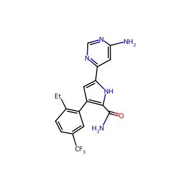 CCc1ccc(C(F)(F)F)cc1-c1cc(-c2cc(N)ncn2)[nH]c1C(N)=O